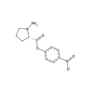 NN1CCC[C@H]1C(=O)Oc1ccc([N+](=O)[O-])cc1